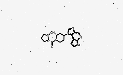 CN1CCC[C@H]1C(=O)N1CCC(n2cnc3cnc4[nH]ccc4c32)CC1